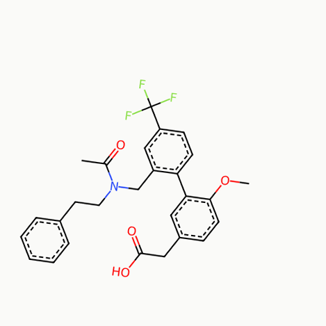 COc1ccc(CC(=O)O)cc1-c1ccc(C(F)(F)F)cc1CN(CCc1ccccc1)C(C)=O